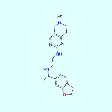 CC(=O)N1CCc2nc(NCCNC(C)c3ccc4c(c3)OCC4)ncc2C1